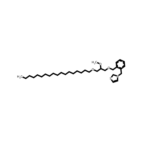 CCCCCCCCCCCCCCCCCCOCC(COCc1ccccc1CN1C=CSC1)OC